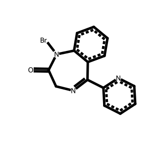 O=C1CN=C(c2ccccn2)c2ccccc2N1Br